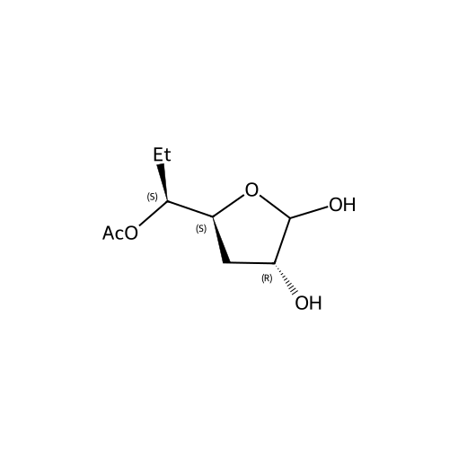 CC[C@H](OC(C)=O)[C@@H]1C[C@@H](O)C(O)O1